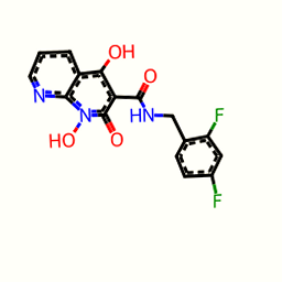 O=C(NCc1ccc(F)cc1F)c1c(O)c2cccnc2n(O)c1=O